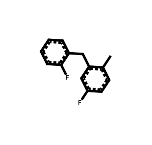 Cc1ccc(F)cc1Cc1ccccc1F